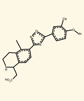 Cc1c(-c2noc(-c3ccc(OC(C)C)c(C#N)c3)n2)ccc2c1CCNC2CC(=O)O